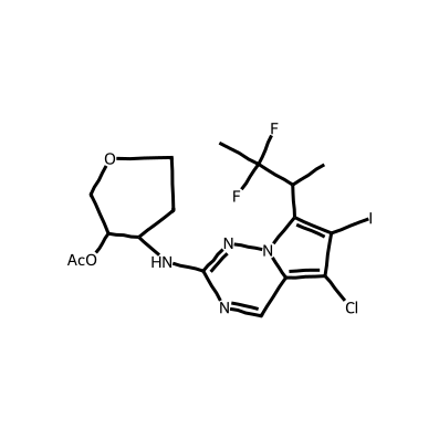 CC(=O)OC1COCCC1Nc1ncc2c(Cl)c(I)c(C(C)C(C)(F)F)n2n1